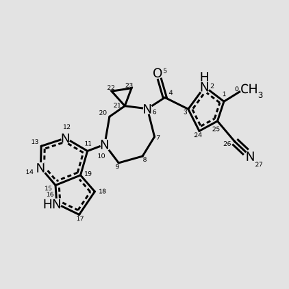 Cc1[nH]c(C(=O)N2CCCN(c3ncnc4[nH]ccc34)CC23CC3)cc1C#N